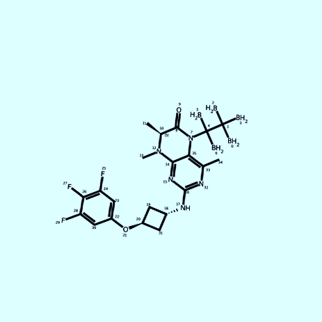 BC(B)(B)C(B)(B)N1C(=O)[C@H](C)N(C)c2nc(N[C@H]3C[C@H](Oc4cc(F)c(F)c(F)c4)C3)nc(C)c21